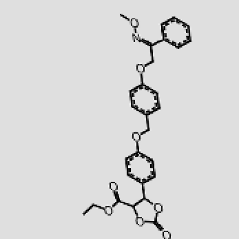 CCOC(=O)C1OC(=O)OC1c1ccc(OCc2ccc(OCC(=NOC)c3ccccc3)cc2)cc1